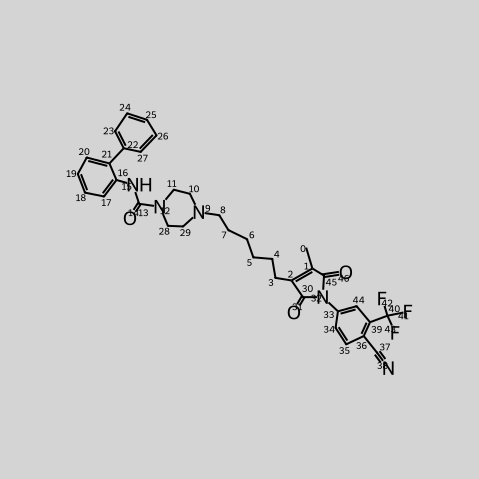 CC1=C(CCCCCCN2CCN(C(=O)Nc3ccccc3-c3ccccc3)CC2)C(=O)N(c2ccc(C#N)c(C(F)(F)F)c2)C1=O